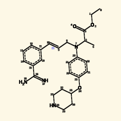 CCOC(=O)C(C)N(C/C=C/c1cccc(C(=N)N)c1)c1ccc(OC2CCNCC2)cc1